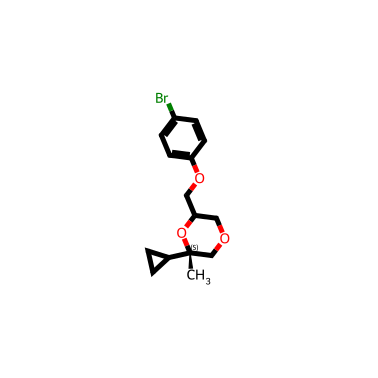 C[C@]1(C2CC2)COCC(COc2ccc(Br)cc2)O1